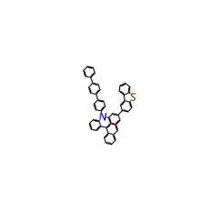 c1ccc(-c2ccc(-c3ccc(N(c4cccc(-c5ccc6sc7ccccc7c6c5)c4)c4ccccc4-c4cccc5ccccc45)cc3)cc2)cc1